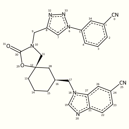 N#Cc1cccc(-n2cc(CN3C[C@@]4(CCC[C@H](Cn5cnc6ccc(C#N)cc65)C4)OC3=O)nn2)c1